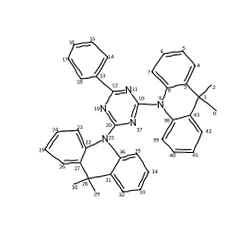 CC1(C)c2ccccc2N(c2nc(-c3ccccc3)nc(N3c4ccccc4C(C)(C)c4ccccc43)n2)c2ccccc21